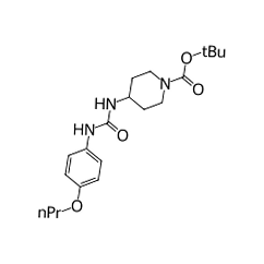 CCCOc1ccc(NC(=O)NC2CCN(C(=O)OC(C)(C)C)CC2)cc1